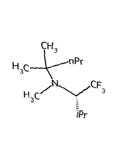 CCCC(C)(C)N(C)[C@@H](C(C)C)C(F)(F)F